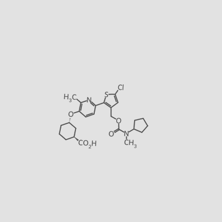 Cc1nc(-c2sc(Cl)cc2COC(=O)N(C)C2CCCC2)ccc1O[C@H]1CCC[C@H](C(=O)O)C1